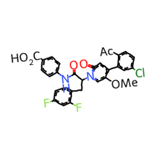 COc1cn(C(Cc2ccc(F)cc2F)C(=O)Nc2ccc(C(=O)O)cc2)c(=O)cc1-c1cc(Cl)ccc1C(C)=O